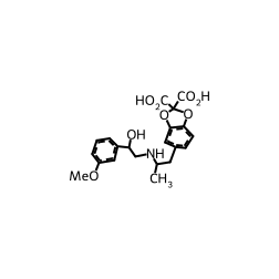 COc1cccc(C(O)CNC(C)Cc2ccc3c(c2)OC(C(=O)O)(C(=O)O)O3)c1